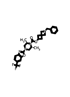 C[C@@H]1CN(c2nc3ccc(C(F)(F)F)cc3o2)C[C@H](C)N1C(=O)OC1CC2(C1)CN(Cc1ccccc1)C2